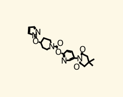 CC1(C)CC(=O)N(c2ccc(OC(=O)N3CCC(On4cccn4)CC3)nc2)C(=O)C1